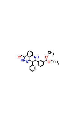 CCOC(OCC)c1cccc(C2Nc3cccc4c3C(=NNC4C=O)C2c2ccccc2)c1